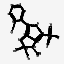 CS(=O)(=O)c1sc(-c2ccccc2F)c2c1[C@H](O)C(F)(F)C2